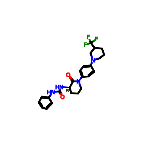 O=C(Nc1ccccc1)N[C@@H]1CCCN(c2ccc(N3CCCC(C(F)(F)F)C3)cc2)C1=O